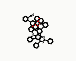 N#Cc1ccccc1-c1ccc2c(c1)c1ccccc1n2-c1c(-c2ccccc2-n2c3ccccc3c3ccccc32)cc(-c2cc(-c3ccccc3)nc(-c3ccccc3)n2)cc1-c1ccccc1-n1c2ccccc2c2ccccc21